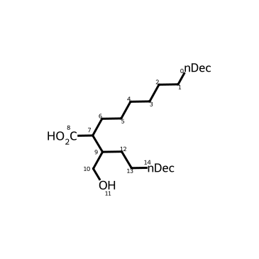 CCCCCCCCCCCCCCCCC(C(=O)O)C(CO)CCCCCCCCCCCC